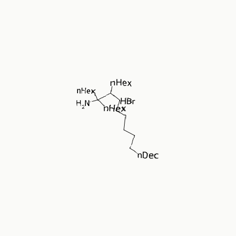 Br.CCCCCCCCCCCCCCCCC(CCCCCC)C(N)(CCCCCC)CCCCCC